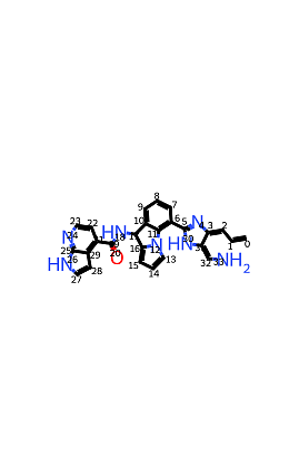 C=C/C=c1/nc(-c2cccc3c2-n2cccc2C3NC(=O)c2ccnc3[nH]ccc23)[nH]/c1=C/N